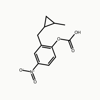 CC1CC1Cc1cc([N+](=O)[O-])ccc1OC(=O)O